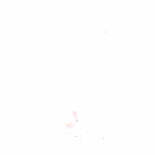 CCCCCCCCCCCCCCC(C(=O)O)=C(C)C